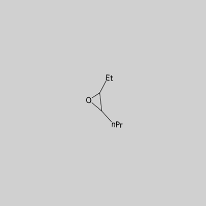 [CH2]CC1OC1CCC